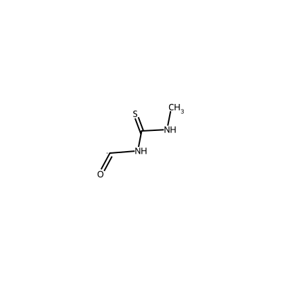 CNC(=S)N[C]=O